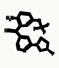 N=C(c1ccnc(N2CC[C@@H](F)C2)c1)c1cc(OC(F)(F)F)ccc1N